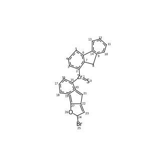 [S]=[Zr]([c]1cccc2c1Cc1ccccc1-2)[c]1cccc2c1=CC1=CC(Br)OC=21